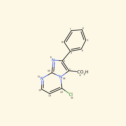 O=C(O)c1c(-c2ccccc2)nc2nccc(Cl)n12